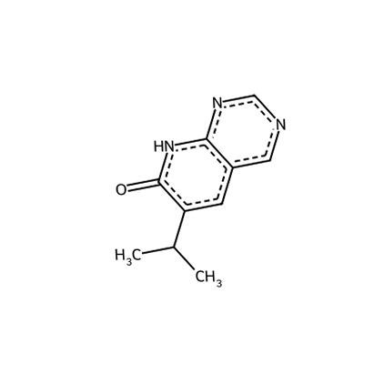 CC(C)c1cc2cncnc2[nH]c1=O